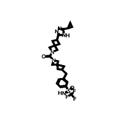 N=S(=O)(c1cccc(CC2CC3(C2)CN(C(=O)N2CC4(CC(c5nnc(C6CC6)[nH]5)C4)C2)C3)c1)C(F)(F)F